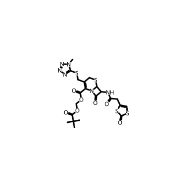 Cn1nnnc1SCC1=C(C(=O)OCOC(=O)C(C)(C)C)N2C(=O)C(NC(=O)Cc3csc(=O)s3)C2SC1